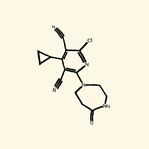 N#Cc1c(Cl)nc(N2CCNC(=O)CC2)c(C#N)c1C1CC1